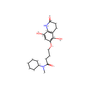 CN(C(=O)CCCOc1cc(O)c2c(c1O)CCC(=O)N2)C1CCCCC1